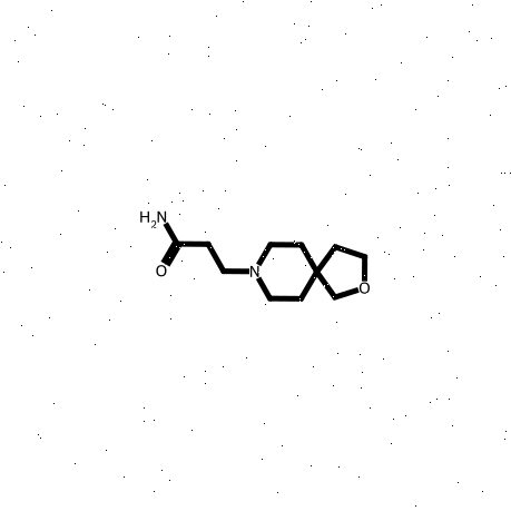 NC(=O)CCN1CCC2(CCOC2)CC1